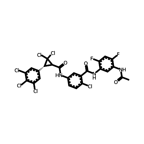 CC(=O)Nc1cc(NC(=O)c2cc(NC(=O)C3[C@H](c4cc(Cl)c(Cl)c(Cl)c4)C3(Cl)Cl)ccc2Cl)c(F)cc1F